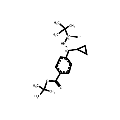 CC(C)(C)OC(=O)c1ccc([C@H](N[S@+]([O-])C(C)(C)C)C2CC2)cc1